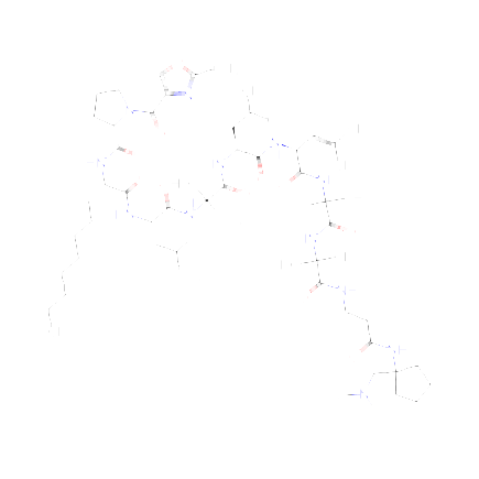 CCCCCCCC[C@H](NC(=O)[C@@H]1CCCN1C(=O)c1coc(C)n1)C(=O)N[C@@H](CC(C)C)C(=O)NC(C)(C)C(=O)N[C@@H](CC(C)C)C(=O)N[C@@H](C=C(C)C)C(=O)NC(C)(C)C(=O)NC(C)(C)C(=O)NCCC(=O)NC1(CN(C)C)CCCC1